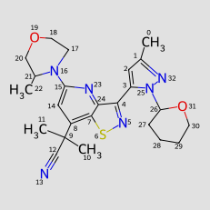 Cc1cc(-c2nsc3c(C(C)(C)C#N)cc(N4CCOCC4C)nc23)n(C2CCCCO2)n1